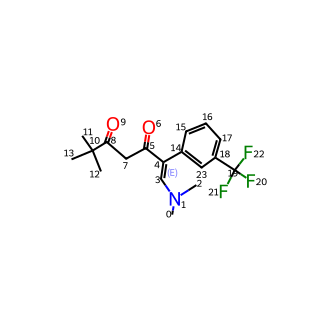 CN(C)/C=C(/C(=O)CC(=O)C(C)(C)C)c1cccc(C(F)(F)F)c1